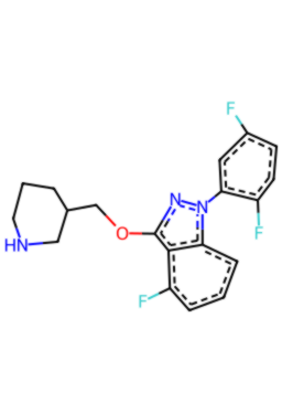 Fc1ccc(F)c(-n2nc(OCC3CCCNC3)c3c(F)cccc32)c1